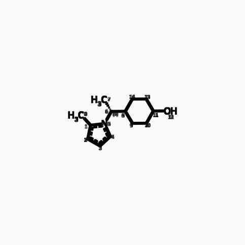 Cc1cccn1[C@H](C)C1CCC(O)CC1